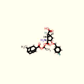 CC1C2CC3CC1CC(C(=O)O[C@H](C)OC(=O)[C@@]1(N)[C@H]4[C@@H](C[C@H]1OCc1ccc(F)cc1)[C@]4(F)C(=O)O)(C3)C2